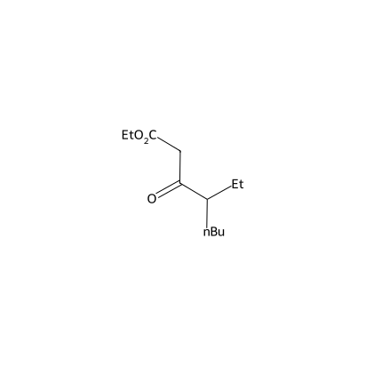 CCCCC(CC)C(=O)CC(=O)OCC